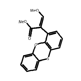 COC=C(C(=O)OC)c1cccc2c1Oc1ccccc1S2